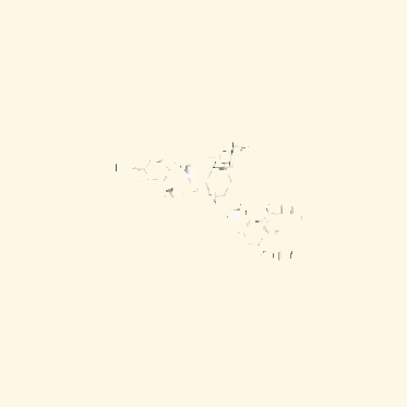 C/C(=N\c1ccc(O)cc1C)c1cccc(/C(C)=N/c2ccc(O)cc2C)n1.Cl.[Fe]